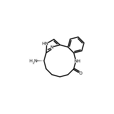 N[C@H]1CCCCC(=O)Nc2ccccc2-c2c[nH]c1n2